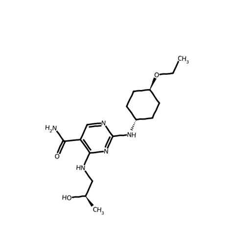 CCO[C@H]1CC[C@H](Nc2ncc(C(N)=O)c(NC[C@@H](C)O)n2)CC1